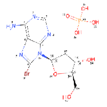 Nc1ncnc2c1nc(Br)n2[C@H]1C[C@H](O)[C@@H](CO)O1.O=P(O)(O)O